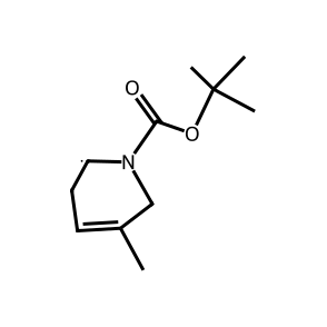 CC1=CC[CH]N(C(=O)OC(C)(C)C)C1